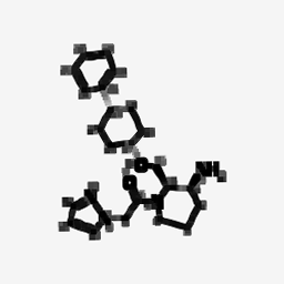 N[C@H]1CCCN(C(=O)Cn2cccn2)[C@H]1CO[C@H]1CC[C@@H](c2ccccc2)CC1